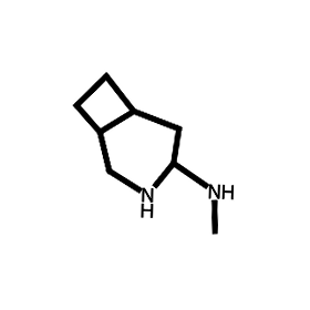 CNC1CC2CCC2CN1